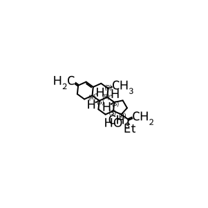 C=C1C=C2C[C@@H](C)[C@@H]3[C@H](CC[C@@]4(C)[C@H]3CC[C@@]4(O)C(=C)CC)[C@H]2CC1